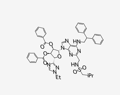 CCn1cnc([C@H]2O[C@@H](n3cnc4c(NCC(c5ccccc5)c5ccccc5)nc(CNS(=O)(=O)CC(C)C)nc43)[C@H](OC(=O)c3ccccc3)[C@@H]2OC(=O)c2ccccc2)n1